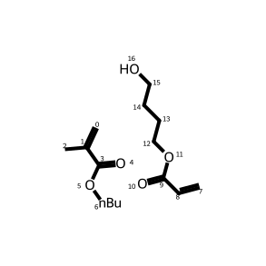 C=C(C)C(=O)OCCCC.C=CC(=O)OCCCCO